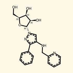 OC[C@@H]1O[C@@H](n2cc(NCc3ccccn3)c(-c3ccccc3)n2)[C@H](O)[C@@H]1O